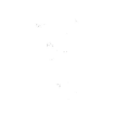 CCc1cc(C#N)c(NC(=O)OCCN2CCOCC2)s1